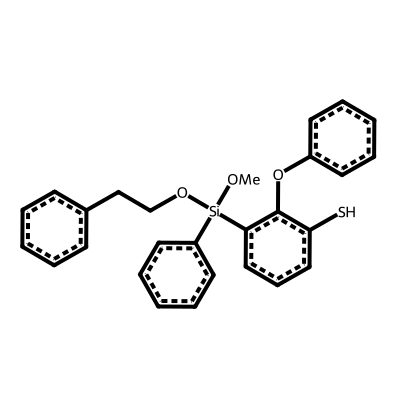 CO[Si](OCCc1ccccc1)(c1ccccc1)c1cccc(S)c1Oc1ccccc1